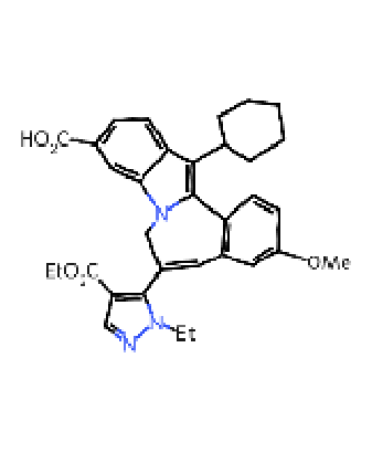 CCOC(=O)c1cnn(CC)c1C1=Cc2cc(OC)ccc2-c2c(C3CCCCC3)c3ccc(C(=O)O)cc3n2C1